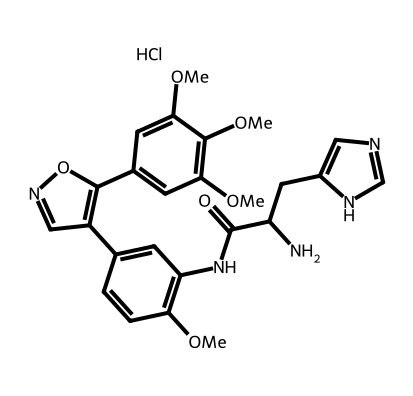 COc1ccc(-c2cnoc2-c2cc(OC)c(OC)c(OC)c2)cc1NC(=O)C(N)Cc1cnc[nH]1.Cl